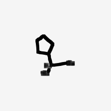 CC(C)(C)[PH2](C1CCCC1)C(C)(C)C